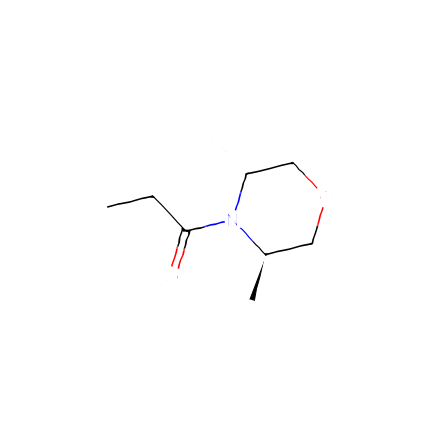 CCC(=O)N1[C@H](C)COC[C@H]1C